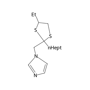 CCCCCCCC1(Cn2ccnc2)SCC(CC)S1